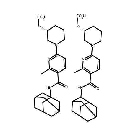 Cc1nc(N2CCC[C@@H](CC(=O)O)C2)ccc1C(=O)NC12CC3CC(CC(C3)C1)C2.Cc1nc(N2CCC[C@@H](CC(=O)O)C2)ccc1C(=O)NC1C2CC3CC(C2)CC1C3